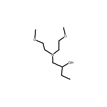 CCC(O)CN(CCOC)CCOC